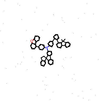 CC1(C)c2ccccc2-c2cccc(-c3ccccc3-c3ccc(N(c4ccc(-c5cccc6oc7ccccc7c56)cc4)c4ccc5c(c4)C4(CCc6ccccc64)c4ccccc4-5)cc3)c21